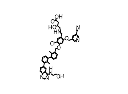 Cc1c(COc2cc(OCc3cncc(C#N)c3)c(CNCC(O)CC(=O)O)cc2Cl)cccc1-c1cccc(-c2ccc3ncnc(NCCO)c3c2)c1C